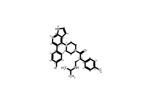 CC(C)NC[C@@H](C(=O)N1CCN(c2c(-c3ccc(F)cc3)cnc3[nH]ccc23)CC1)c1ccc(Cl)cc1